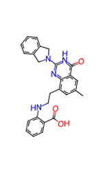 Cc1cc(CCNc2ccccc2C(=O)O)c2nc(N3Cc4ccccc4C3)[nH]c(=O)c2c1